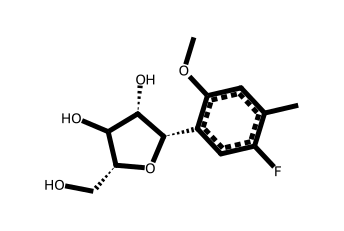 COc1cc(C)c(F)cc1[C@@H]1O[C@H](CO)C(O)[C@@H]1O